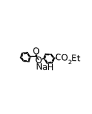 CCOC(=O)c1ccc(OC(=O)c2ccccc2)cc1.[NaH]